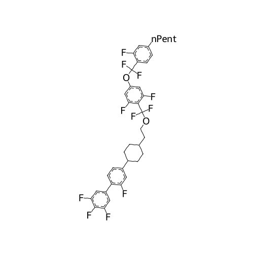 CCCCCc1ccc(C(F)(F)Oc2cc(F)c(C(F)(F)OCCC3CCC(c4ccc(-c5cc(F)c(F)c(F)c5)c(F)c4)CC3)c(F)c2)c(F)c1